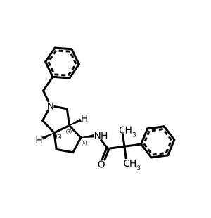 CC(C)(C(=O)N[C@H]1CC[C@@H]2CN(Cc3ccccc3)C[C@@H]21)c1ccccc1